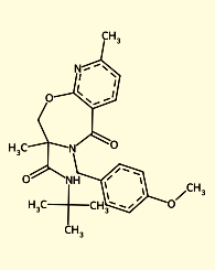 COc1ccc(CN2C(=O)c3ccc(C)nc3OCC2(C)C(=O)NC(C)(C)C)cc1